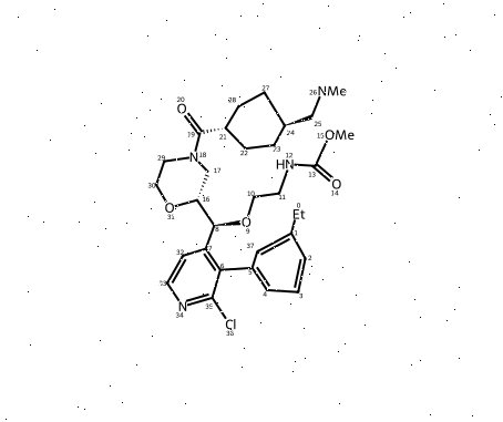 CCc1cccc(-c2c([C@H](OCCNC(=O)OC)[C@H]3CN(C(=O)[C@H]4CC[C@H](CNC)CC4)CCO3)ccnc2Cl)c1